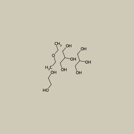 CCOCC.OCC(O)CO.OCC(O)CO.OCCO